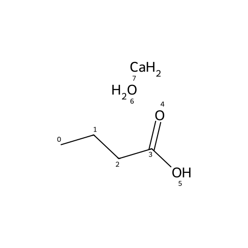 CCCC(=O)O.O.[CaH2]